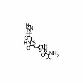 CC(C)C(N)C(=O)Nc1ccc(/C=c2\s/c(=C/C(=O)C(C)(C)n3cncn3)[nH]c2=O)s1